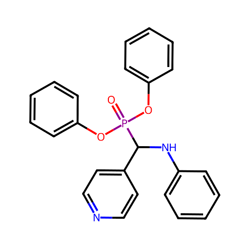 O=P(Oc1ccccc1)(Oc1ccccc1)C(Nc1ccccc1)c1ccncc1